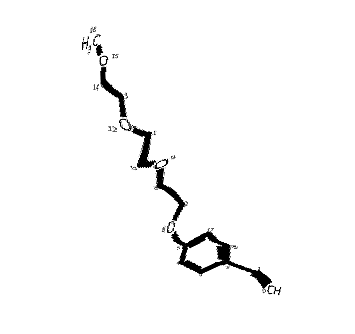 C#Cc1ccc(OCCOCCOCCOC)cc1